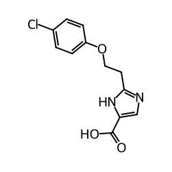 O=C(O)c1cnc(CCOc2ccc(Cl)cc2)[nH]1